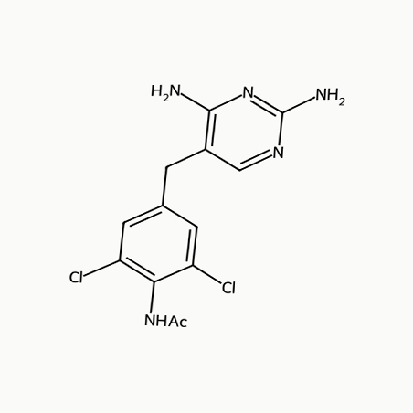 CC(=O)Nc1c(Cl)cc(Cc2cnc(N)nc2N)cc1Cl